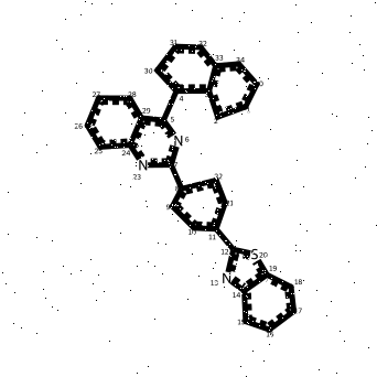 c1ccc2c(-c3nc(-c4ccc(-c5nc6ccccc6s5)cc4)nc4ccccc34)cccc2c1